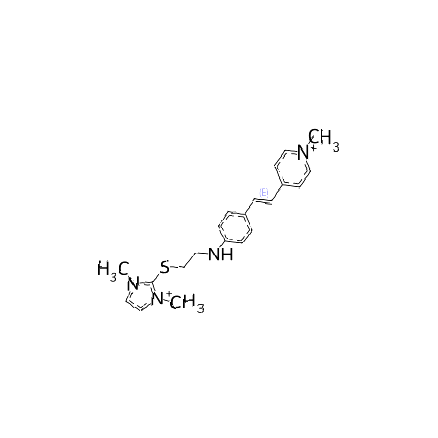 Cn1cc[n+](C)c1SCCNc1ccc(/C=C/c2cc[n+](C)cc2)cc1